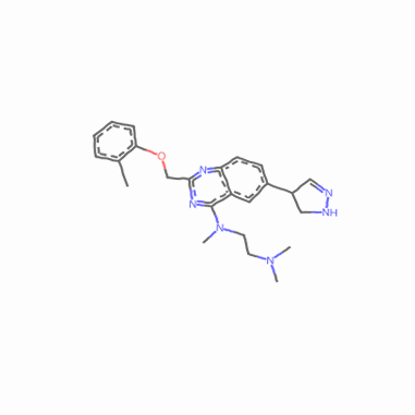 Cc1ccccc1OCc1nc(N(C)CCN(C)C)c2cc(C3C=NNC3)ccc2n1